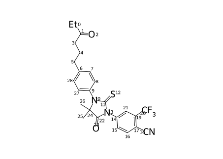 CCC(=O)CCCc1ccc(N2C(=S)N(c3ccc(C#N)c(C(F)(F)F)c3)C(=O)C2(C)C)cc1